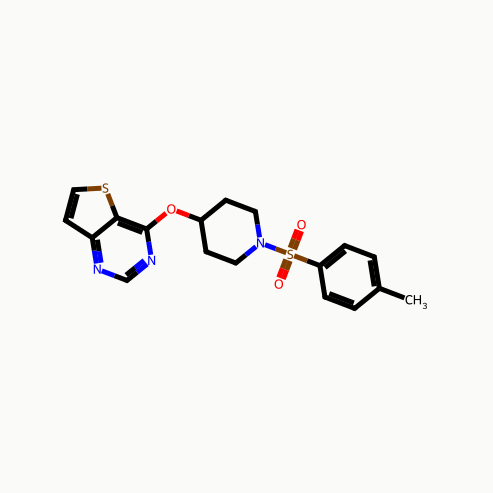 Cc1ccc(S(=O)(=O)N2CCC(Oc3ncnc4ccsc34)CC2)cc1